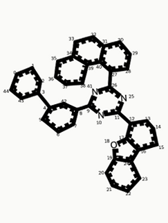 c1ccc(-c2cccc(-c3nc(-c4cccc5c4oc4ccccc45)nc(-c4cccc5ccc6ccccc6c45)n3)c2)cc1